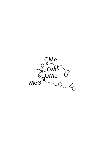 CO[Si](CCCOCC1CO1)(OC)O[Si](C)(C)O[Si](COCC1CO1)(OC)OC